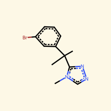 Cn1cnnc1C(C)(C)c1cccc(Br)c1